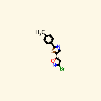 Cc1ccc(-c2ncc([C@@H]3CC(Br)=NO3)s2)cc1